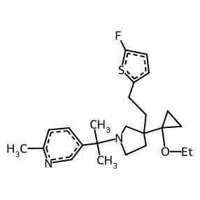 CCOC1(C2(CCc3ccc(F)s3)CCN(C(C)(C)c3ccc(C)nc3)C2)CC1